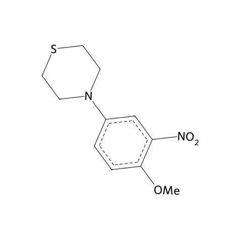 COc1ccc(N2CCSCC2)cc1[N+](=O)[O-]